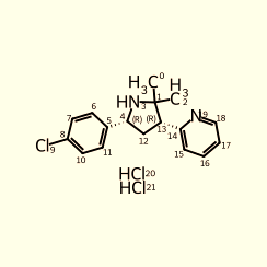 CC1(C)N[C@@H](c2ccc(Cl)cc2)C[C@H]1c1ccccn1.Cl.Cl